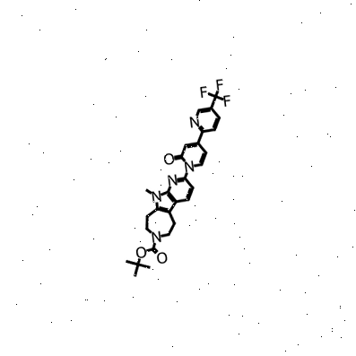 Cn1c2c(c3ccc(-n4ccc(-c5ccc(C(F)(F)F)cn5)cc4=O)nc31)CCN(C(=O)OC(C)(C)C)CC2